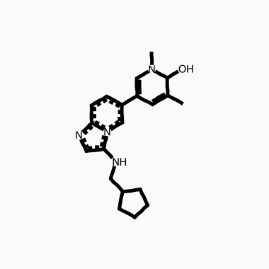 CC1=CC(c2ccc3ncc(NCC4CCCC4)n3c2)=CN(C)C1O